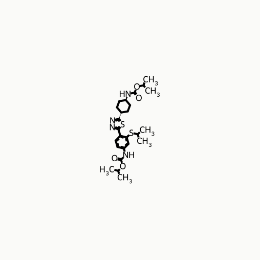 CC(C)OC(=O)Nc1ccc(-c2nnc([C@H]3CC[C@H](NC(=O)OC(C)C)CC3)s2)c(SC(C)C)c1